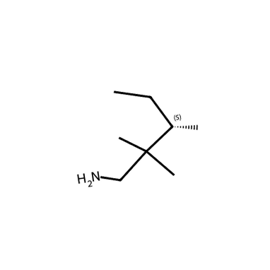 CC[C@H](C)C(C)(C)CN